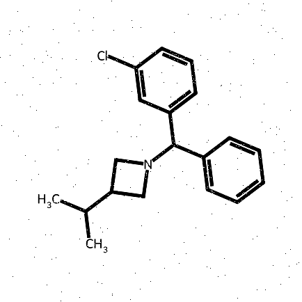 CC(C)C1CN(C(c2ccccc2)c2cccc(Cl)c2)C1